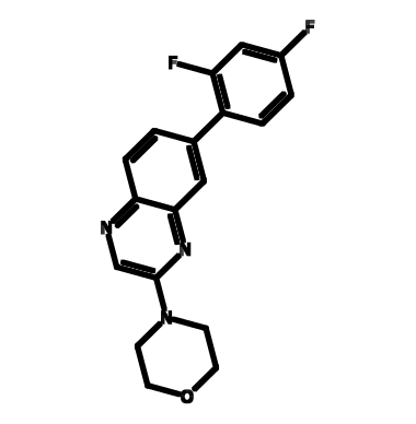 Fc1ccc(-c2ccc3ncc(N4CCOCC4)nc3c2)c(F)c1